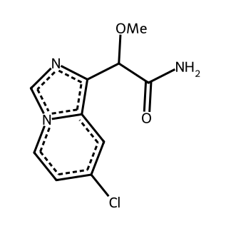 COC(C(N)=O)c1ncn2ccc(Cl)cc12